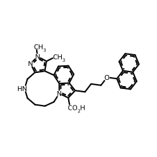 Cc1c2c(nn1C)CNCCCCn1c(C(=O)O)c(CCCOc3cccc4ccccc34)c3cccc-2c31